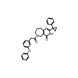 O=C(Cc1cccc(Oc2ccccc2)c1)N1CCCc2nc(C3(c4ccccc4)CC3)[nH]c(=O)c2C1